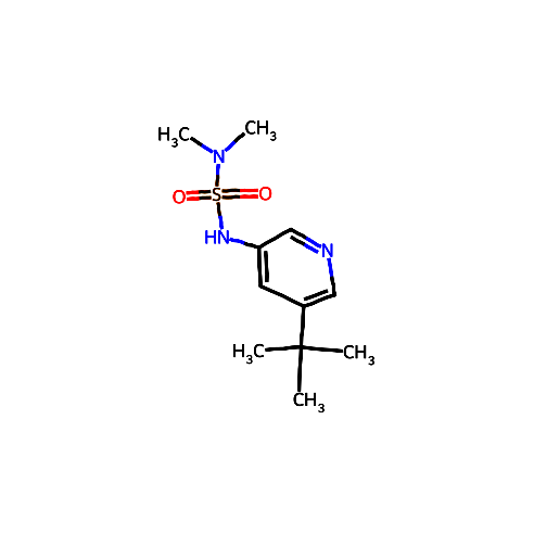 CN(C)S(=O)(=O)Nc1cncc(C(C)(C)C)c1